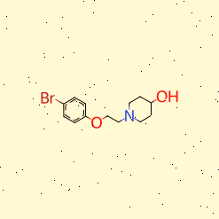 OC1CCN(CCOc2ccc(Br)cc2)CC1